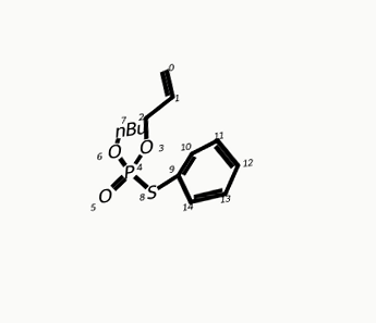 C=CCOP(=O)(OCCCC)Sc1ccccc1